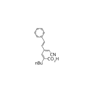 CCCCC(=CC(C=Cc1ccccc1)=CC#N)C(=O)O